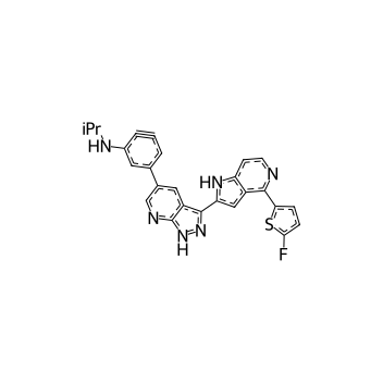 CC(C)Nc1c#ccc(-c2cnc3[nH]nc(-c4cc5c(-c6ccc(F)s6)nccc5[nH]4)c3c2)c1